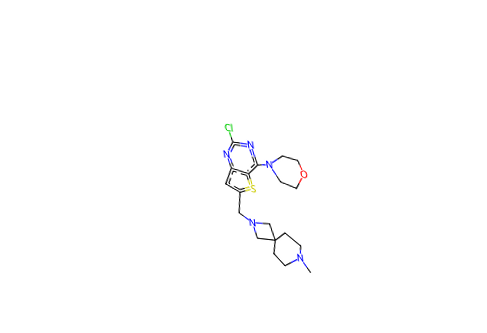 CN1CCC2(CC1)CN(Cc1cc3nc(Cl)nc(N4CCOCC4)c3s1)C2